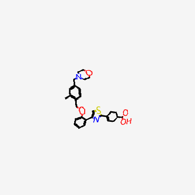 Cc1cc(CN2CCOCC2)ccc1COc1ccccc1-c1csc(C2=CCC(C(=O)O)CC2)n1